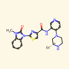 CC[C@@H]1CN(c2ccncc2NC(=O)c2csc(-n3c(=O)n(C)c4ccccc43)n2)CCN1